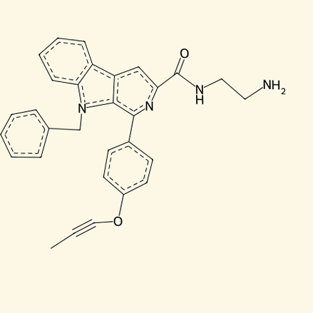 CC#COc1ccc(-c2nc(C(=O)NCCN)cc3c4ccccc4n(Cc4ccccc4)c23)cc1